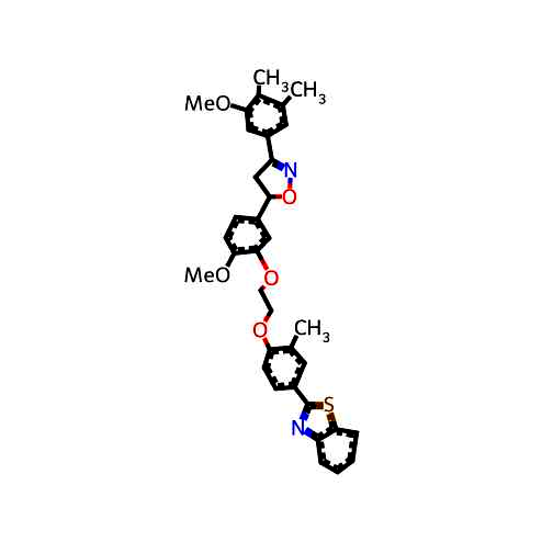 COc1ccc(C2CC(c3cc(C)c(C)c(OC)c3)=NO2)cc1OCCOc1ccc(-c2nc3ccccc3s2)cc1C